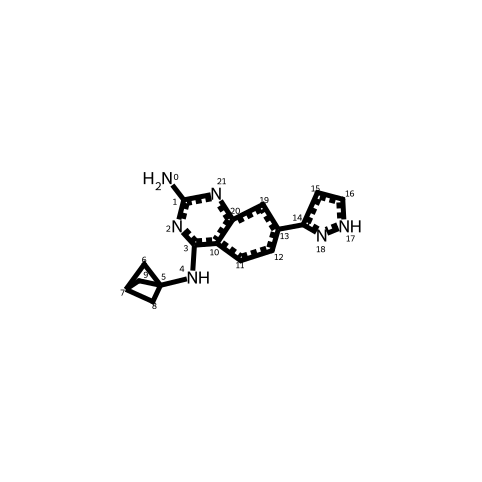 Nc1nc(NC23CC(C2)C3)c2ccc(-c3cc[nH]n3)cc2n1